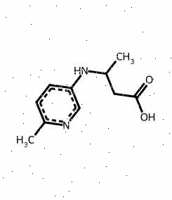 Cc1ccc(NC(C)CC(=O)O)cn1